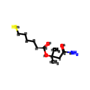 CC(C)(CC(N)=O)OC(=O)CCCCCS